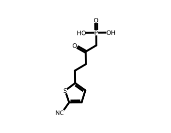 N#Cc1ccc(CCC(=O)CP(=O)(O)O)s1